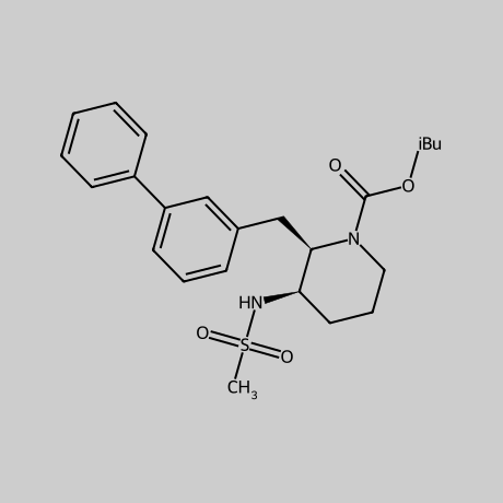 CCC(C)OC(=O)N1CCC[C@@H](NS(C)(=O)=O)[C@H]1Cc1cccc(-c2ccccc2)c1